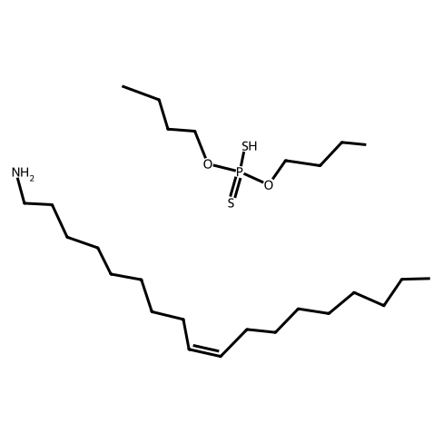 CCCCCCCC/C=C\CCCCCCCCN.CCCCOP(=S)(S)OCCCC